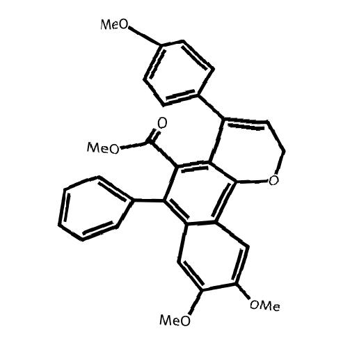 COC(=O)c1c2c(c3cc(OC)c(OC)cc3c1-c1ccccc1)OCC=C2c1ccc(OC)cc1